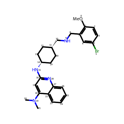 COc1ccc(Br)cc1CNC[C@H]1CC[C@@H](Nc2cc(N(C)C)c3ccccc3n2)CC1